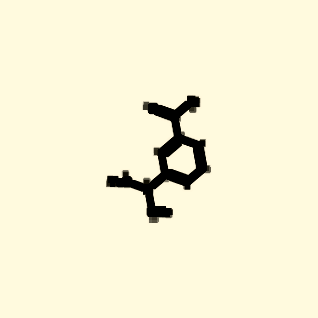 CCC(=O)c1cccc(N(OC)OC)c1